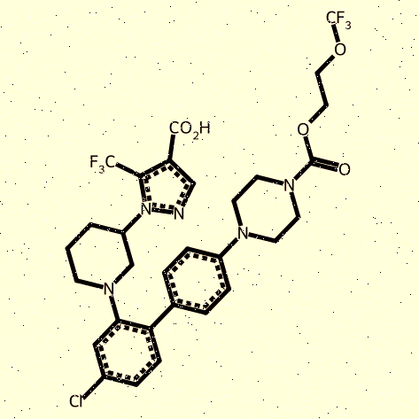 O=C(O)c1cnn(C2CCCN(c3cc(Cl)ccc3-c3ccc(N4CCN(C(=O)OCCOC(F)(F)F)CC4)cc3)C2)c1C(F)(F)F